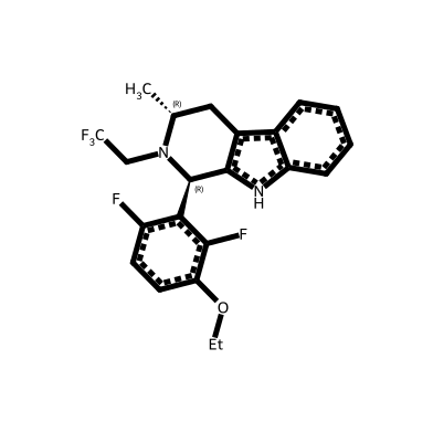 [CH2]COc1ccc(F)c([C@@H]2c3[nH]c4ccccc4c3C[C@@H](C)N2CC(F)(F)F)c1F